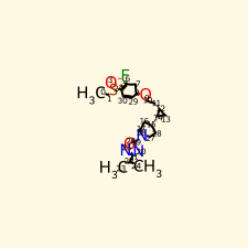 CC[S+]([O-])C1=C(F)CC(OCC[C@@H]2C[C@@H]2C2CCN(c3nc(C(C)C)no3)CC2)C=C1